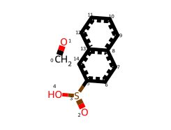 C=O.O=S(O)c1ccc2ccccc2c1